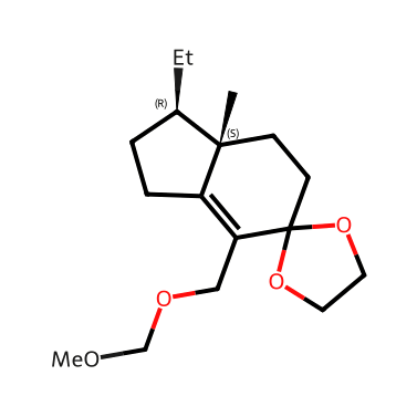 CC[C@@H]1CCC2=C(COCOC)C3(CC[C@]21C)OCCO3